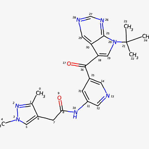 Cc1nn(C)cc1CC(=O)Nc1cncc(C(=O)c2cn(C(C)(C)C)c3ncncc23)c1